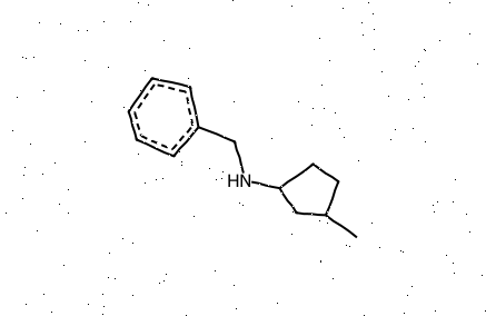 CC1CCC(NCc2ccccc2)C1